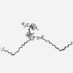 CCCCC/C=C\CCCCCCCCCCC(=O)OC[C@H](COP(=O)([O-])OCC[N+](C)(C)C)OC(=O)CCCCCCCCCC/C=C\CCCCC